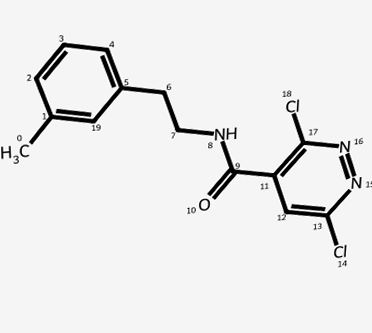 Cc1cccc(CCNC(=O)c2cc(Cl)nnc2Cl)c1